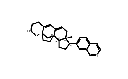 C[C@@]12CC[C@H](c3ccc4ccncc4c3)[C@@]1(C)CC=C1C=C3CCNC[C@]34CC[C@@]12C4